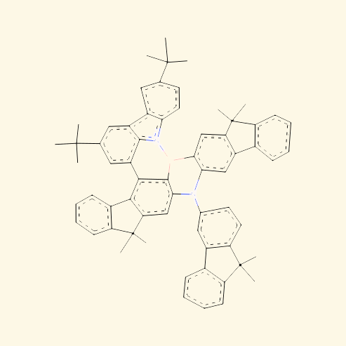 CC(C)(C)c1ccc2c(c1)c1cc(C(C)(C)C)cc3c1n2B1c2cc4c(cc2N(c2ccc5c(c2)-c2ccccc2C5(C)C)c2cc5c(c-3c21)-c1ccccc1C5(C)C)-c1ccccc1C4(C)C